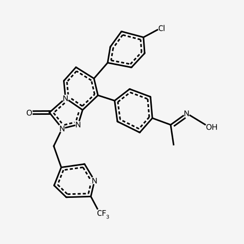 CC(=NO)c1ccc(-c2c(-c3ccc(Cl)cc3)ccn3c(=O)n(Cc4ccc(C(F)(F)F)nc4)nc23)cc1